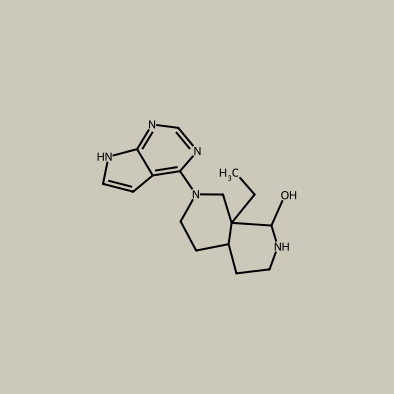 CCC12CN(c3ncnc4[nH]ccc34)CCC1CCNC2O